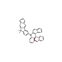 CC1(C)c2ccc(N(c3ccccc3)c3ccc4ccccc4c3-c3cccc4ccccc34)cc2-c2cc3ccccc3cc21